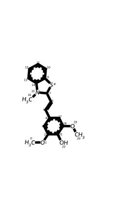 COc1cc(/C=C/C2Sc3ccccc3N2C)cc(OC)c1O